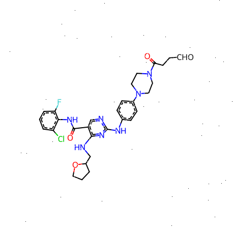 O=CCCC(=O)N1CCN(c2ccc(Nc3ncc(C(=O)Nc4c(F)cccc4Cl)c(NCC4CCCO4)n3)cc2)CC1